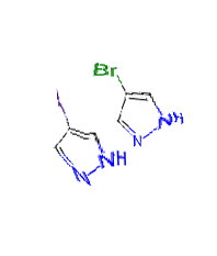 Brc1cn[nH]c1.Ic1cn[nH]c1